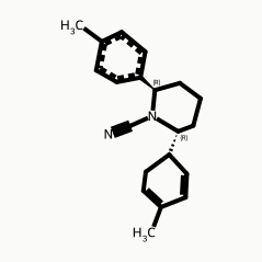 CC1=CCC([C@H]2CCC[C@H](c3ccc(C)cc3)N2C#N)C=C1